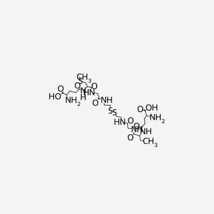 CCC(NC(=O)CCC(N)C(=O)O)C(=O)NCC(=O)NCCSSCCNC(=O)CNC(=O)C(CSC)NC(=O)CCC(N)C(=O)O